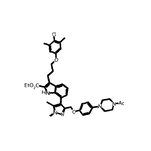 CCOC(=O)c1[nH]c2c(-c3c(COc4ccc(N5CCN(C(C)=O)CC5)cc4)nn(C)c3C)cccc2c1CCCOc1cc(C)c(Cl)c(C)c1